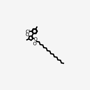 CCCCCCCCCCCCCCCC(=O)OC1=C(c2ccc(C)cc2Cl)C(=O)C(C)C1